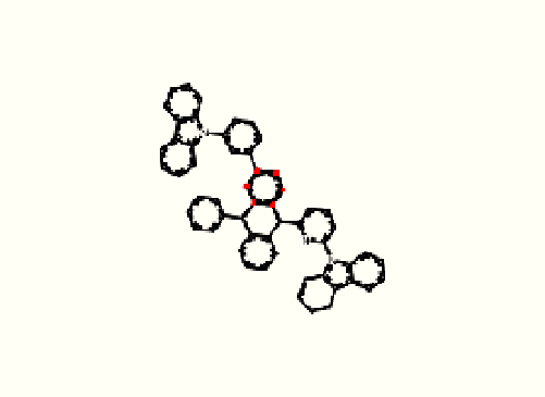 C1=Cc2c(c3ccccc3n2-c2cccc(C34c5ccccc5C(c5ccccc5)(c5ccccc53)c3cc(-c5cccc(-n6c7ccccc7c7ccccc76)c5)ccc34)n2)CC1